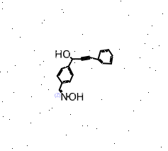 O/N=C\c1ccc(C(O)C#Cc2ccccc2)cc1